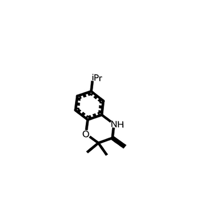 C=C1Nc2cc(C(C)C)ccc2OC1(C)C